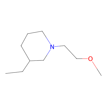 CCC1CCCN(CCOC)C1